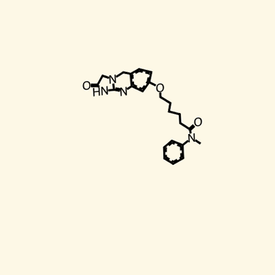 CN(C(=O)CCCCCOc1ccc2c(c1)N=C1NC(=O)CN1C2)c1ccccc1